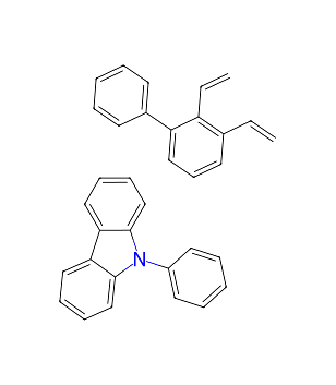 C=Cc1cccc(-c2ccccc2)c1C=C.c1ccc(-n2c3ccccc3c3ccccc32)cc1